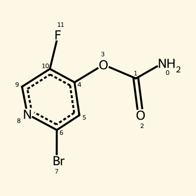 NC(=O)Oc1cc(Br)ncc1F